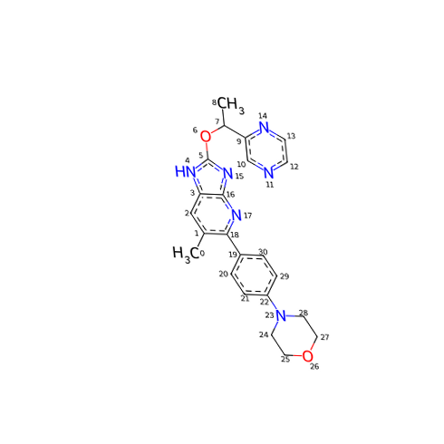 Cc1cc2[nH]c(OC(C)c3cnccn3)nc2nc1-c1ccc(N2CCOCC2)cc1